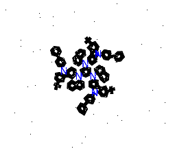 CC(C)(C)c1ccc2c(c1)c1cc(N(c3cc(N(c4ccc5c(c4)c4cc(C(C)(C)C)ccc4n5-c4ccc(-c5ccccc5)cc4)c4cccc5ccccc45)cc(N(c4ccc5c(c4)c4cc(C(C)(C)C)ccc4n5-c4ccc(-c5ccccc5)cc4)c4cccc5ccccc45)c3)c3cccc4ccccc34)ccc1n2-c1ccc(-c2ccccc2)cc1